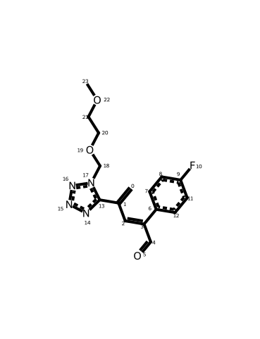 C=C(/C=C(/C=O)c1ccc(F)cc1)c1nnnn1COCCOC